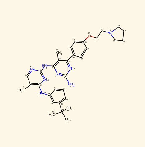 Cc1cnc(Nc2nc(N)nc(-c3ccc(OCCN4CCCC4)cc3)c2C)nc1Nc1cccc(C(C)(C)C)c1